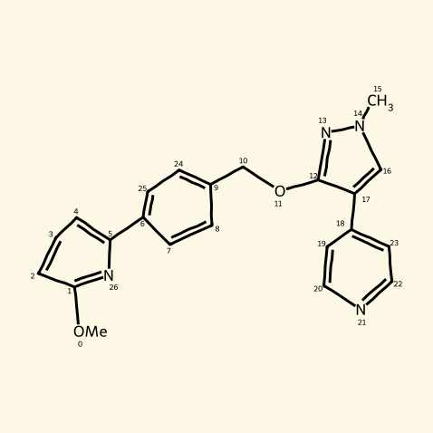 COc1cccc(-c2ccc(COc3nn(C)cc3-c3ccncc3)cc2)n1